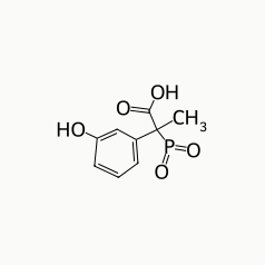 CC(C(=O)O)(c1cccc(O)c1)P(=O)=O